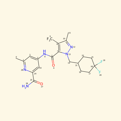 Cc1cc(NC(=O)c2c(C(F)(F)F)c(C)nn2CC2CCC(F)(F)CC2)cc(C(N)=O)n1